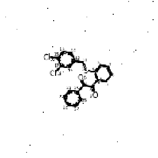 O=C(C(=O)C1CC=CC=C1SCc1ccc(Cl)c(Cl)c1)c1ccccc1